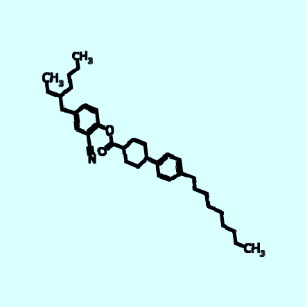 CCCCCCCCCc1ccc(C2CCC(C(=O)Oc3ccc(CC(CC)CCCC)cc3C#N)CC2)cc1